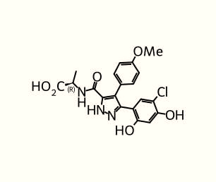 COc1ccc(-c2c(-c3cc(Cl)c(O)cc3O)n[nH]c2C(=O)N[C@H](C)C(=O)O)cc1